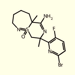 CC1(c2nc(Br)ccc2F)CS2(=O)=NCCCCC2(C)C(N)=N1